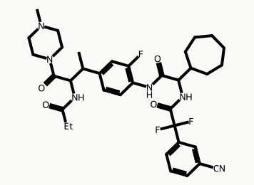 CCC(=O)NC(C(=O)N1CCN(C)CC1)C(C)c1ccc(NC(=O)C(NC(=O)C(F)(F)c2cccc(C#N)c2)C2CCCCCC2)c(F)c1